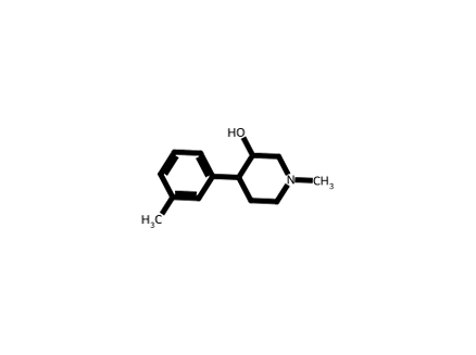 Cc1cccc(C2CCN(C)CC2O)c1